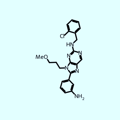 COCCCn1c(-c2cccc(N)c2)nc2cnc(NCc3ccccc3Cl)nc21